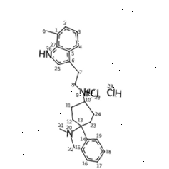 Cc1cccc2c(CCNC3CCC(c4ccccc4)(N(C)C)CC3)c[nH]c12.Cl.Cl